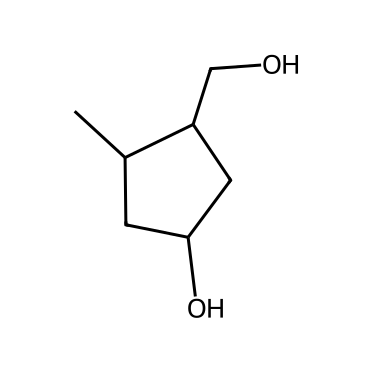 CC1CC(O)CC1CO